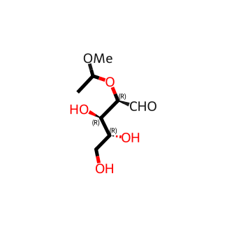 COC(C)O[C@@H](C=O)[C@H](O)[C@H](O)CO